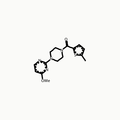 COc1ccnc(N2CCN(C(=O)c3ccc(C)s3)CC2)n1